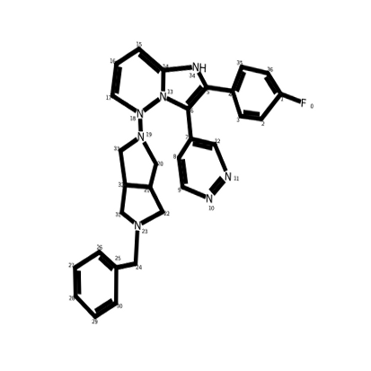 Fc1ccc(C2=C(c3ccnnc3)N3C(=CC=CN3N3CC4CN(Cc5ccccc5)CC4C3)N2)cc1